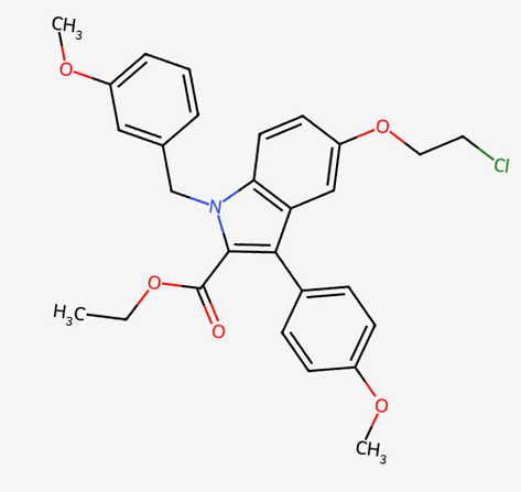 CCOC(=O)c1c(-c2ccc(OC)cc2)c2cc(OCCCl)ccc2n1Cc1cccc(OC)c1